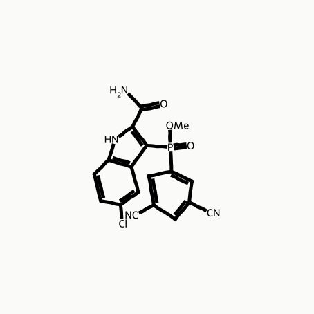 COP(=O)(c1cc(C#N)cc(C#N)c1)c1c(C(N)=O)[nH]c2ccc(Cl)cc12